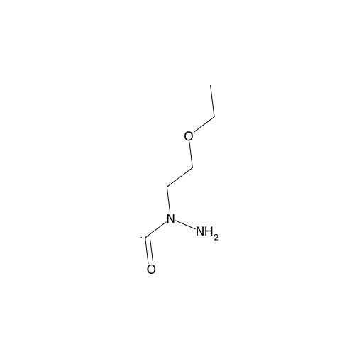 CCOCCN(N)[C]=O